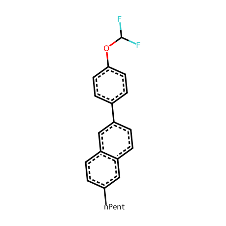 CCCCCc1ccc2cc(-c3ccc(OC(F)F)cc3)ccc2c1